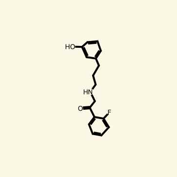 O=C(CNCCCc1cccc(O)c1)c1ccccc1F